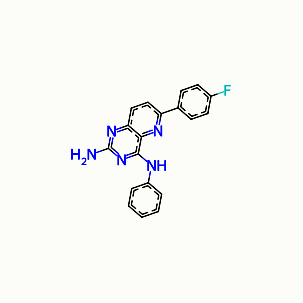 Nc1nc(Nc2ccccc2)c2nc(-c3ccc(F)cc3)ccc2n1